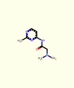 Cc1n[c]cc(NC(=O)CN(C)C)n1